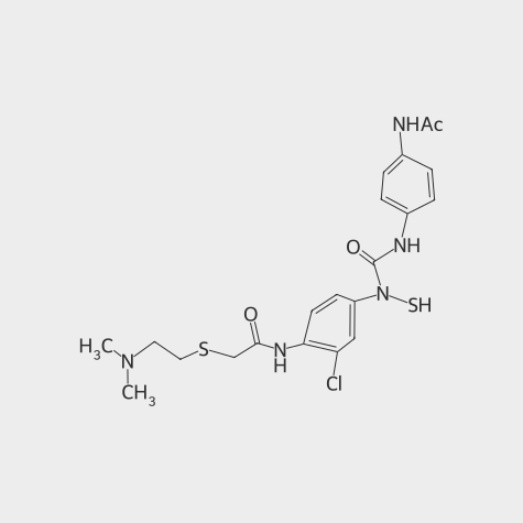 CC(=O)Nc1ccc(NC(=O)N(S)c2ccc(NC(=O)CSCCN(C)C)c(Cl)c2)cc1